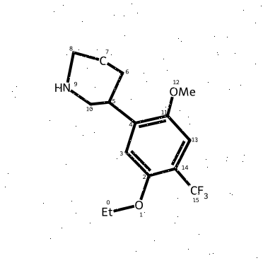 CCOc1cc(C2CCCNC2)c(OC)cc1C(F)(F)F